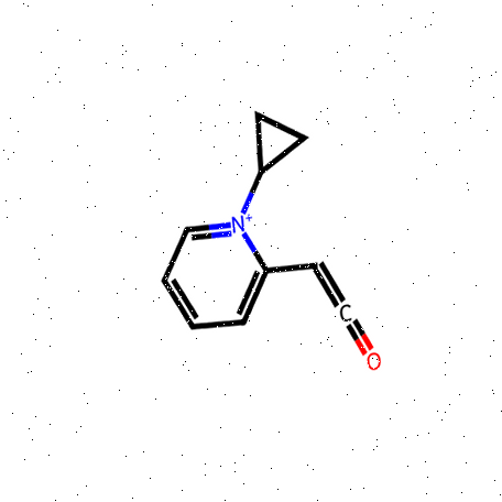 O=C=Cc1cccc[n+]1C1CC1